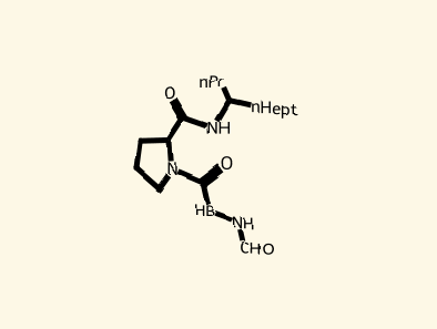 CCCCCCCC(CCC)NC(=O)C1CCCN1C(=O)BNC=O